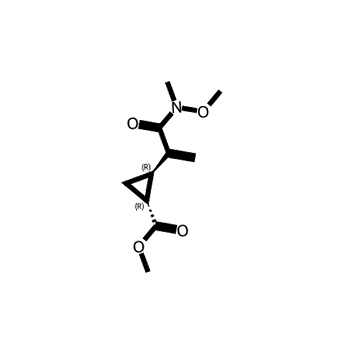 C=C(C(=O)N(C)OC)[C@@H]1C[C@H]1C(=O)OC